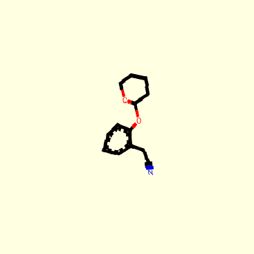 N#CCc1ccccc1OC1CCCCO1